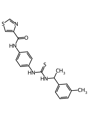 Cc1cccc(C(C)NC(=S)Nc2ccc(NC(=O)c3cscn3)cc2)c1